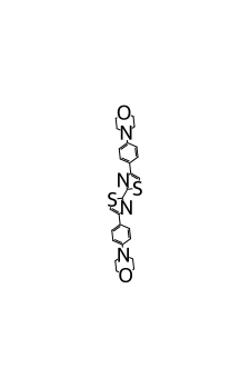 c1cc(N2CCOCC2)ccc1-c1csc(-c2nc(-c3ccc(N4CCOCC4)cc3)cs2)n1